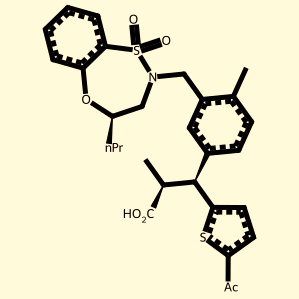 CCC[C@@H]1CN(Cc2cc([C@@H](c3ccc(C(C)=O)s3)[C@H](C)C(=O)O)ccc2C)S(=O)(=O)c2ccccc2O1